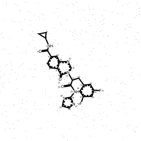 O=C(NC1CC1)c1ccc2c(=O)n(C(Cc3cc(F)cc(F)c3)C(=O)Nc3nccs3)cnc2c1